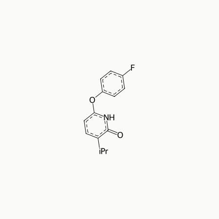 CC(C)c1ccc(Oc2ccc(F)cc2)[nH]c1=O